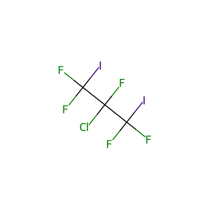 FC(F)(I)C(F)(Cl)C(F)(F)I